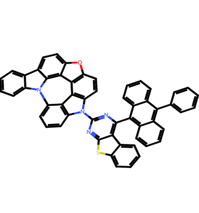 c1ccc(-c2c3ccccc3c(-c3nc(-n4c5ccc6oc7ccc8c9ccccc9n9c%10cccc4c%10c5c6c7c89)nc4sc5ccccc5c34)c3ccccc23)cc1